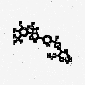 CC(C)/C(=N\C#N)N1CC(F)(c2ccc(C3=NOC(c4cc(F)c(F)c(C(F)(F)F)c4)(C(F)(F)F)C3)cn2)C1